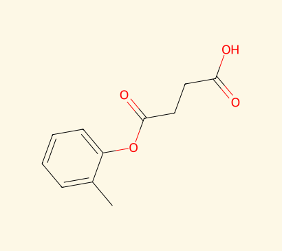 Cc1ccccc1OC(=O)CCC(=O)O